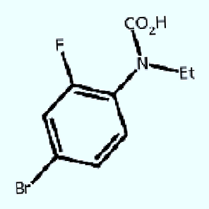 CCN(C(=O)O)c1ccc(Br)cc1F